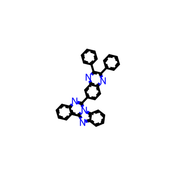 c1ccc(-c2nc3ccc(-c4nc5ccccc5c5nc6ccccc6n45)cc3nc2-c2ccccc2)cc1